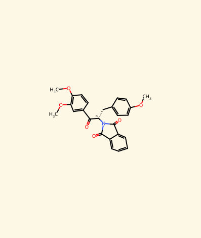 COc1ccc(C[C@@H](C(=O)c2ccc(OC)c(OC)c2)N2C(=O)c3ccccc3C2=O)cc1